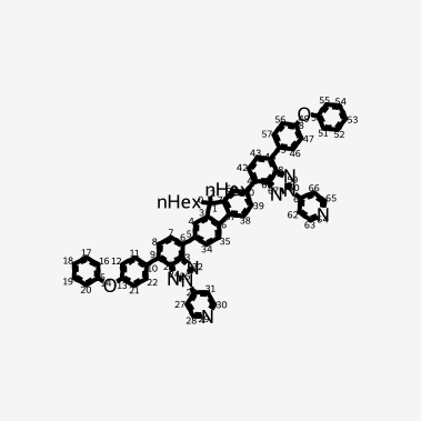 CCCCCCC1(CCCCCC)c2cc(-c3ccc(-c4ccc(Oc5ccccc5)cc4)c4nn(-c5ccncc5)nc34)ccc2-c2ccc(-c3ccc(-c4ccc(Oc5ccccc5)cc4)c4nn(-c5ccncc5)nc34)cc21